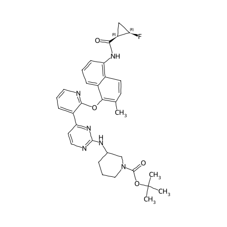 Cc1ccc2c(NC(=O)[C@H]3C[C@H]3F)cccc2c1Oc1ncccc1-c1ccnc(NC2CCCN(C(=O)OC(C)(C)C)C2)n1